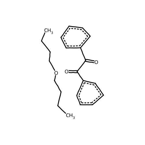 CCCCOCCCC.O=C(C(=O)c1ccccc1)c1ccccc1